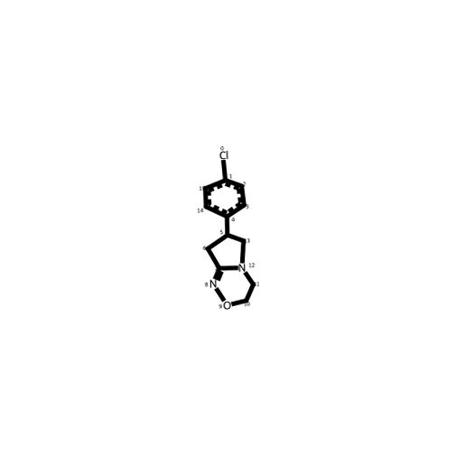 Clc1ccc(C2CC3=NOCCN3C2)cc1